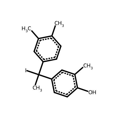 Cc1ccc(C(C)(I)c2ccc(O)c(C)c2)cc1C